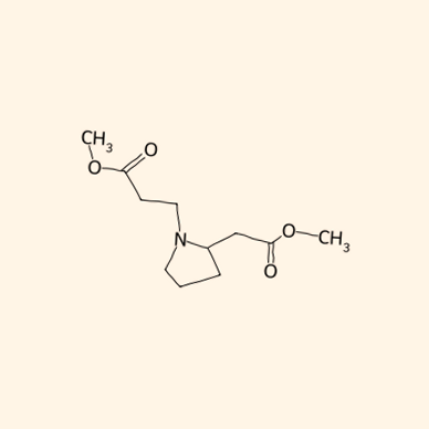 COC(=O)CCN1CCCC1CC(=O)OC